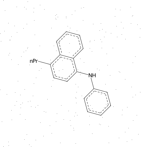 CCCc1ccc(Nc2ccccc2)c2ccccc12